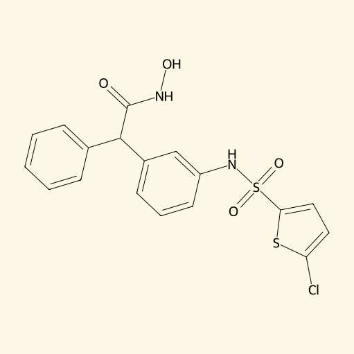 O=C(NO)C(c1ccccc1)c1cccc(NS(=O)(=O)c2ccc(Cl)s2)c1